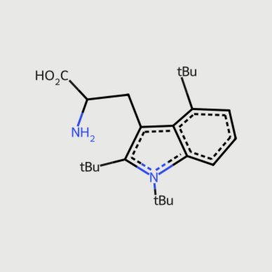 CC(C)(C)c1cccc2c1c(CC(N)C(=O)O)c(C(C)(C)C)n2C(C)(C)C